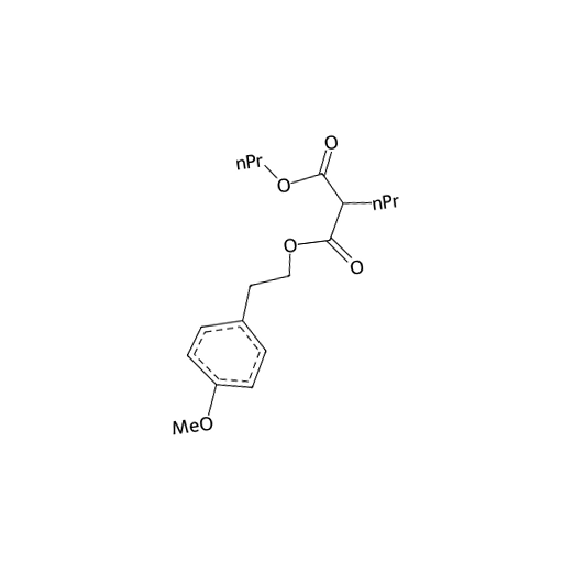 CCCOC(=O)C(CCC)C(=O)OCCc1ccc(OC)cc1